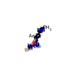 CC(=O)c1cn(CC(=O)N2C[C@H](F)C[C@H]2C(=O)Nc2cncc(Br)n2)c2ccc(-c3cnc4cc(C)nn4c3)cc12